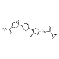 CC(=O)N1CC2CC2(c2ccc(N3C[C@H](CNC(=O)C4CO4)OC3=O)cc2)C1